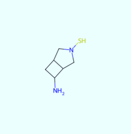 NC1CC2CN(S)CC12